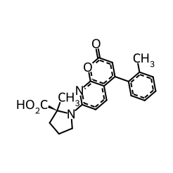 Cc1ccccc1-c1cc(=O)oc2nc(N3CCC[C@@]3(C)C(=O)O)ccc12